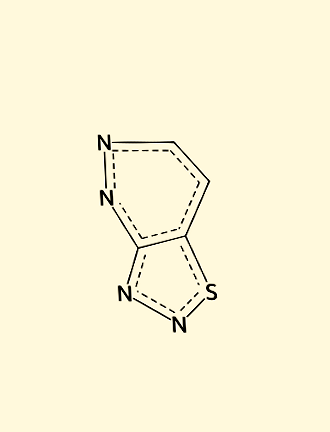 c1cc2snnc2nn1